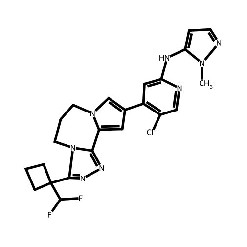 Cn1nccc1Nc1cc(-c2cc3n(c2)CCCn2c-3nnc2C2(C(F)F)CCC2)c(Cl)cn1